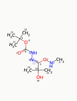 CNO/C(=N\NC(=O)OC(C)(C)C)C(C)(C)O